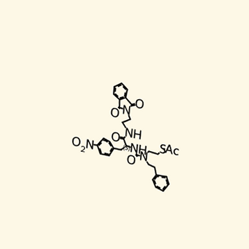 CC(=O)SCCN(CCc1ccccc1)C(=O)N[C@@H](Cc1ccc([N+](=O)[O-])cc1)C(=O)NCCN1C(=O)c2ccccc2C1=O